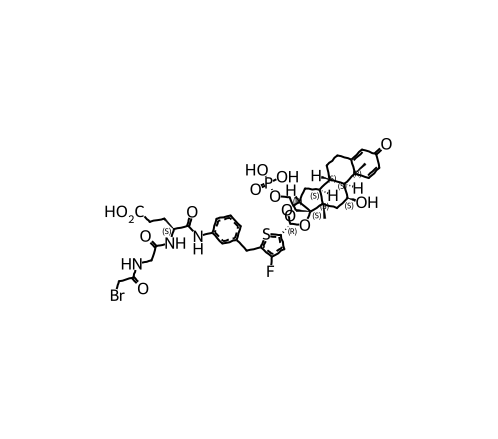 C[C@]12C=CC(=O)C=C1CC[C@@H]1[C@@H]2[C@@H](O)C[C@@]2(C)[C@H]1C[C@H]1O[C@@H](c3cc(F)c(Cc4cccc(NC(=O)[C@H](CCC(=O)O)NC(=O)CNC(=O)CBr)c4)s3)O[C@]12C(=O)COP(=O)(O)O